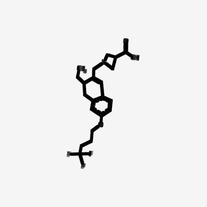 CCC1Cc2cc(OCCCC(F)(F)F)ccc2C=C1CN1CC(C(=O)O)C1